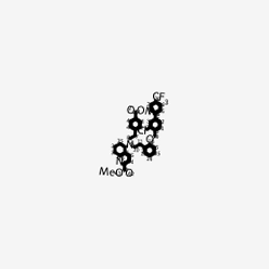 COC(=O)c1ccc(CCN(CCc2ccccc2OCc2ccc(-c3ccc(C(F)(F)F)cc3)cc2Cl)[C@H]2CCCc3nc(C(=O)OC)ccc32)cc1